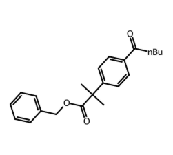 CCCCC(=O)c1ccc(C(C)(C)C(=O)OCc2ccccc2)cc1